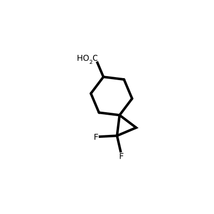 O=C(O)C1CCC2(CC1)CC2(F)F